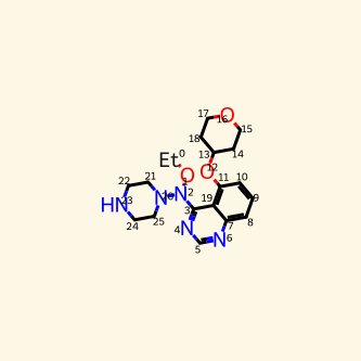 CCON(c1ncnc2cccc(OC3CCOCC3)c12)N1CCNCC1